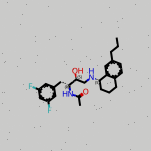 CCCc1ccc2c(c1)[C@@H](NC[C@H](O)[C@@H](Cc1cc(F)cc(F)c1)NC(C)=O)CCC2